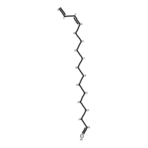 C=C/C=C\CCCCCCCCCCCC=O